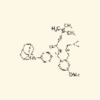 COc1ccc2c(c1)C[C@H](CC1CC1)N(C(=O)C#C[Si](C)(C)C)[C@H]2c1ccc(NC23CC4CC(CC(C4)C2)C3)cc1